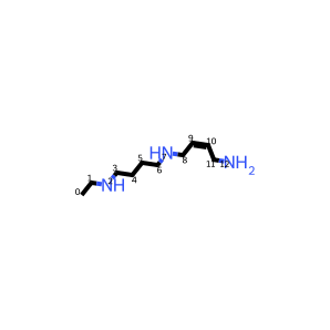 CCNCCCCNC/C=C\CN